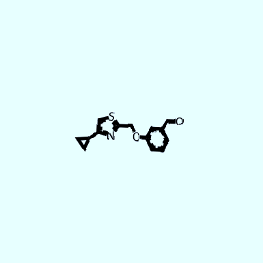 O=Cc1cccc(OCc2nc(C3CC3)cs2)c1